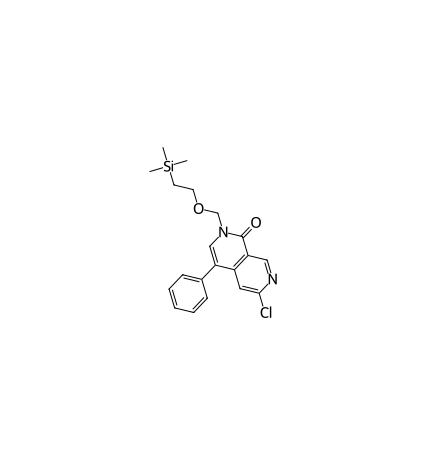 C[Si](C)(C)CCOCn1cc(-c2ccccc2)c2cc(Cl)ncc2c1=O